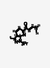 Cc1nn(C(C)C)c2nc(C(=O)/C=C/N(C)C)ccc12